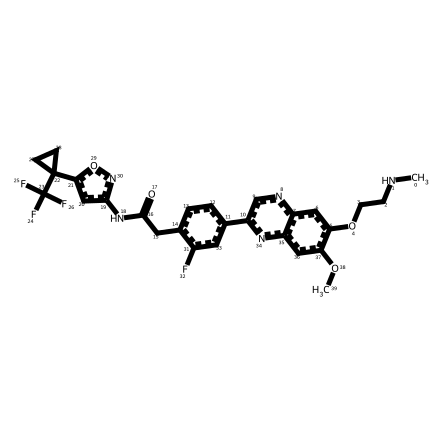 CNCCOc1cc2ncc(-c3ccc(CC(=O)Nc4cc(C5(C(F)(F)F)CC5)on4)c(F)c3)nc2cc1OC